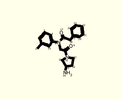 Cc1cccc(N(CC(=O)N2CCC(N)C2)C(=O)Cc2ccccc2)c1